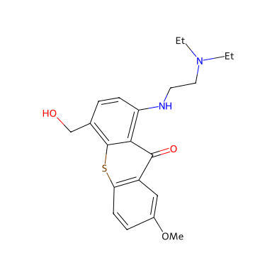 CCN(CC)CCNc1ccc(CO)c2sc3ccc(OC)cc3c(=O)c12